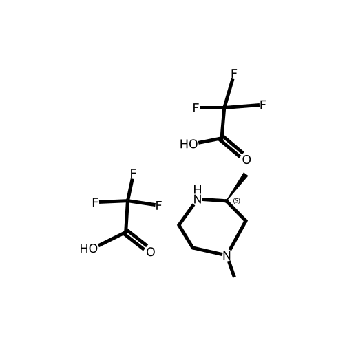 C[C@H]1CN(C)CCN1.O=C(O)C(F)(F)F.O=C(O)C(F)(F)F